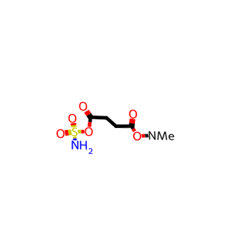 CNOC(=O)CCC(=O)OS(N)(=O)=O